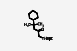 CCCCCCCCC(=O)CC(C)(C)C1CCCCC1